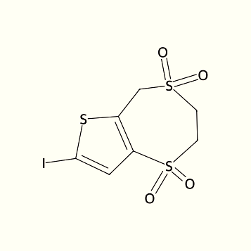 O=S1(=O)CCS(=O)(=O)c2cc(I)sc2C1